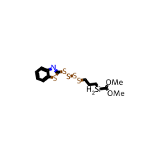 COC(OC)[SiH2]CCCSSSSc1nc2ccccc2s1